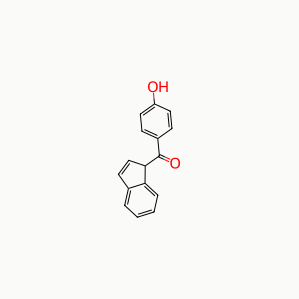 O=C(c1ccc(O)cc1)C1C=Cc2ccccc21